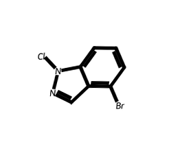 Cln1n[c]c2c(Br)cccc21